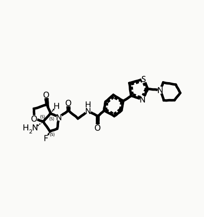 N[C@]12OCC(=O)[C@H]1N(C(=O)CNC(=O)c1ccc(-c3csc(N4CCCCC4)n3)cc1)C[C@@H]2F